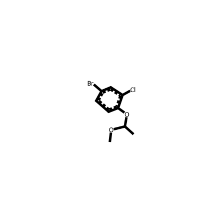 COC(C)Oc1ccc(Br)cc1Cl